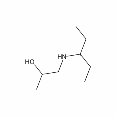 CC[C](CC)NCC(C)O